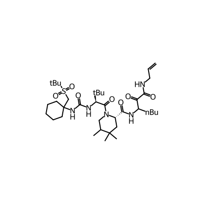 C=CCNC(=O)C(=O)C(CCCC)NC(=O)[C@@H]1CC(C)(C)C(C)CN1C(=O)[C@@H](NC(=O)NC1(CS(=O)(=O)C(C)(C)C)CCCCC1)C(C)(C)C